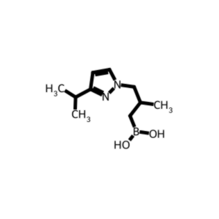 CC(CB(O)O)Cn1ccc(C(C)C)n1